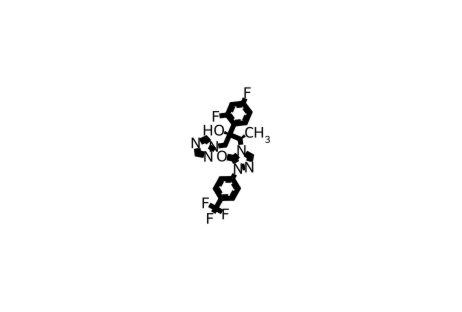 C[C@@H](n1cnn(-c2ccc(C(F)(F)F)cc2)c1=O)[C@](O)(Cn1cncn1)c1ccc(F)cc1F